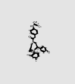 CC(=O)Nc1ccc(CC(=O)N2CCN(c3ccc(Cl)cc3Cl)C(c3ccc(Cl)cc3)C2)cc1